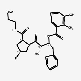 COCCNC(=O)[C@@H]1C[C@H](F)CN1C(=O)[C@@H](O)[C@H](Cc1ccccc1)NC(=O)c1cccc(O)c1C